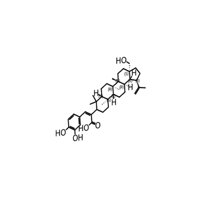 C=C(C)[C@@H]1CC[C@]2(CO)CC[C@]3(C)[C@H](CC[C@@H]4[C@@]5(C)CCC(C(=Cc6ccc(O)c(O)c6)C(=O)O)C(C)(C)[C@@H]5CC[C@]43C)[C@@H]12